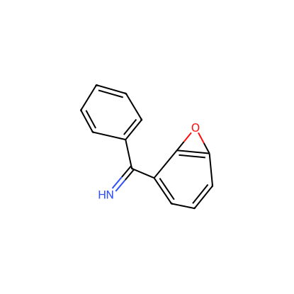 N=C(c1ccccc1)c1cccc2c1O2